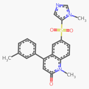 Cc1cccc(-c2cc(=O)n(C)c3ccc(S(=O)(=O)c4cncn4C)cc23)c1